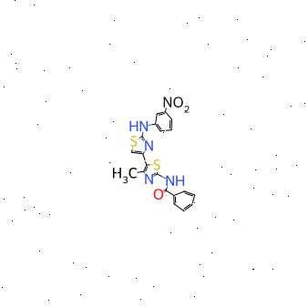 Cc1nc(NC(=O)c2ccccc2)sc1-c1csc(Nc2cccc([N+](=O)[O-])c2)n1